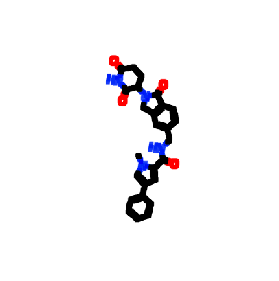 Cn1cc(-c2ccccc2)cc1C(=O)NCc1ccc2c(c1)CN(C1CCC(=O)NC1=O)C2=O